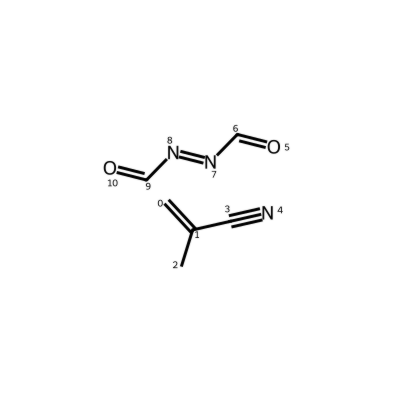 C=C(C)C#N.O=CN=NC=O